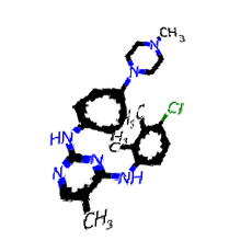 Cc1cnc(Nc2ccc(N3CCN(C)CC3)cc2)nc1Nc1ccc(Cl)c(C)c1C